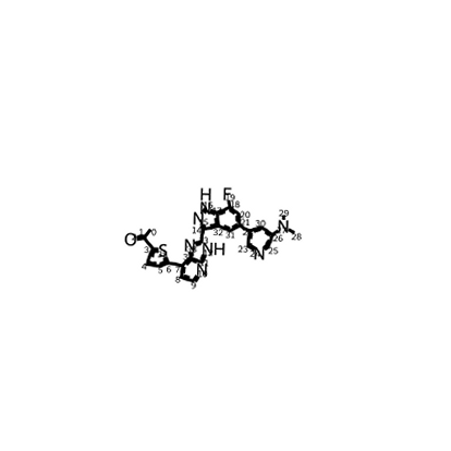 CC(=O)c1ccc(-c2ccnc3[nH]c(-c4n[nH]c5c(F)cc(-c6cncc(N(C)C)c6)cc45)nc23)s1